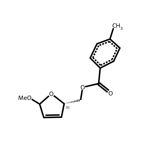 COC1C=C[C@@H](COC(=O)c2ccc(C)cc2)O1